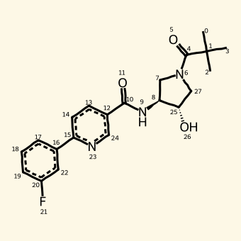 CC(C)(C)C(=O)N1C[C@H](NC(=O)c2ccc(-c3cccc(F)c3)nc2)[C@@H](O)C1